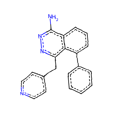 Nc1nnc(Cc2ccncc2)c2c(-c3ccccc3)cccc12